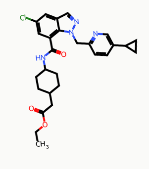 CCOC(=O)CC1CCC(NC(=O)c2cc(Cl)cc3cnn(Cc4ccc(C5CC5)cn4)c23)CC1